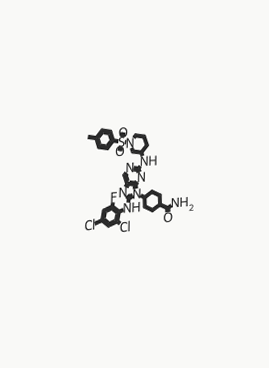 Cc1ccc(S(=O)(=O)N2CCCC(Nc3ncc4nc(Nc5c(F)cc(Cl)cc5Cl)n(C5CCC(C(N)=O)CC5)c4n3)C2)cc1